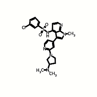 CN(C)C1CCN(c2cc(-c3cn(C)c4nccc(NS(=O)(=O)c5cccc(Cl)c5)c34)ccn2)C1